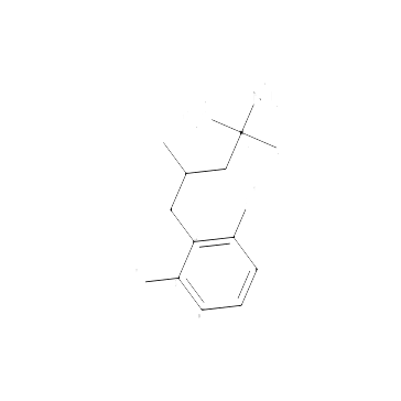 CC(Cc1c(C(F)(F)F)cccc1C(F)(F)F)CC(C)(N)C(=O)O